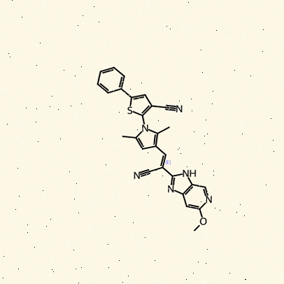 COc1cc2nc(/C(C#N)=C/c3cc(C)n(-c4sc(-c5ccccc5)cc4C#N)c3C)[nH]c2cn1